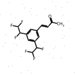 CC(=O)C=Cc1cc(C(F)C(F)F)cc(C(F)C(F)F)c1